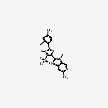 CCS(=O)(=O)c1c(-c2nc3cc(C(F)(F)F)ncc3n2C)nc(-c2ccc(C(F)(F)F)cc2C)n1C